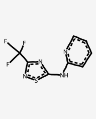 FC(F)(F)c1nsc(Nc2ccccn2)n1